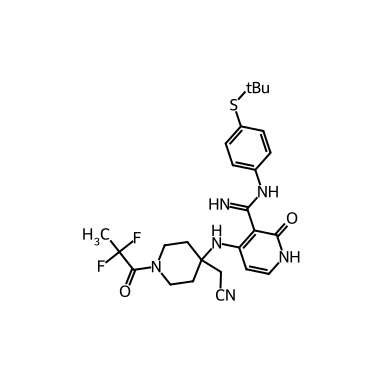 CC(C)(C)Sc1ccc(NC(=N)c2c(NC3(CC#N)CCN(C(=O)C(C)(F)F)CC3)cc[nH]c2=O)cc1